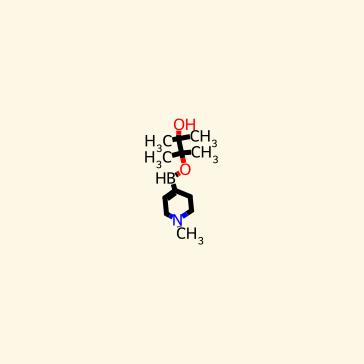 CN1CC=C(BOC(C)(C)C(C)(C)O)CC1